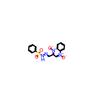 O=S(=O)(NN=Cc1c[n+]([O-])c2ccccc2[n+]1[O-])c1ccccc1